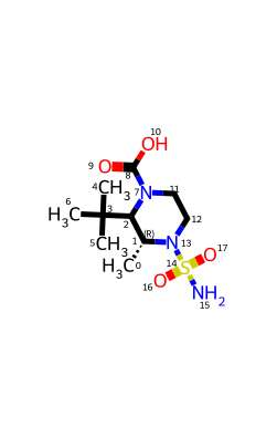 C[C@@H]1C(C(C)(C)C)N(C(=O)O)CCN1S(N)(=O)=O